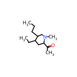 CCCC1CN(C)C(C(C)=O)CC1CC